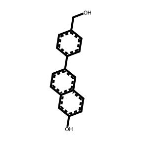 OCc1ccc(-c2ccc3cc(O)ccc3c2)cc1